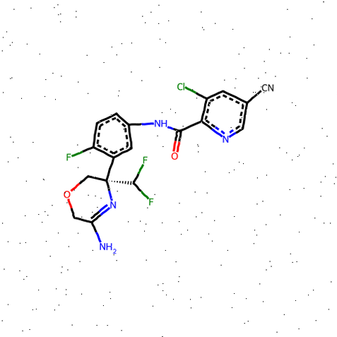 N#Cc1cnc(C(=O)Nc2ccc(F)c([C@]3(C(F)F)COCC(N)=N3)c2)c(Cl)c1